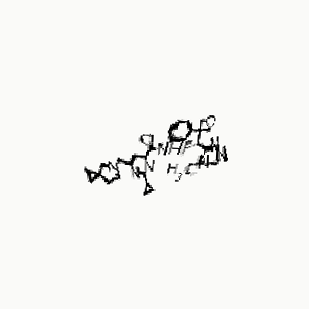 Cn1cnnc1[C@H](F)C1(c2cccc(NC(=O)c3cc(CN4CCC5(CC5)C4)nc(C4CC4)n3)c2)COC1